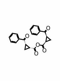 O=C(c1ccccc1)[C@H]1C[C@H]1C(=O)OC(=O)[C@@H]1C[C@@H]1C(=O)c1ccccc1